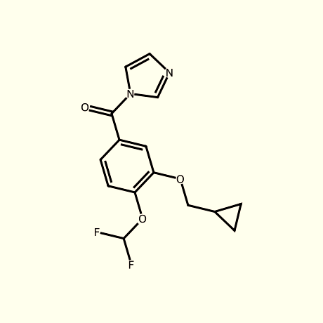 O=C(c1ccc(OC(F)F)c(OCC2CC2)c1)n1ccnc1